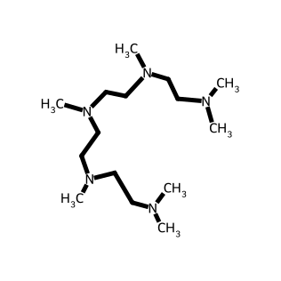 CN(C)CCN(C)CCN(C)CCN(C)CCN(C)C